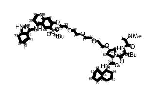 CN[C@@H](C)C(=O)N[C@H](C(=O)N1C[C@@H](OCCOCCOCCOCCOc2cc3nccc(Nc4n[nH]c5ccc(F)cc45)c3cc2S(=O)(=O)C(C)(C)C)C[C@H]1C(=O)N[C@@H]1CCCc2ccccc21)C(C)(C)C